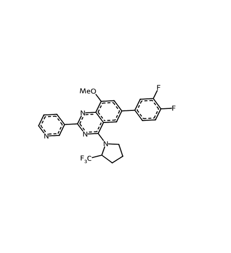 COc1cc(-c2ccc(F)c(F)c2)cc2c(N3CCCC3C(F)(F)F)nc(-c3cccnc3)nc12